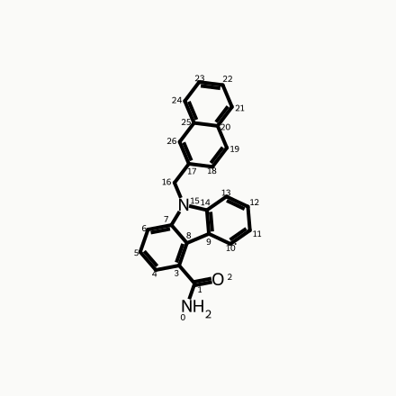 NC(=O)c1cccc2c1c1[c]cccc1n2Cc1ccc2ccccc2c1